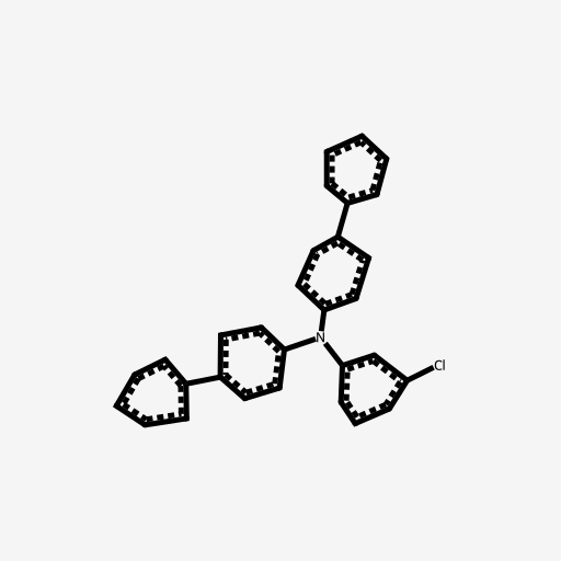 Clc1cccc(N(c2ccc(-c3ccccc3)cc2)c2ccc(-c3ccccc3)cc2)c1